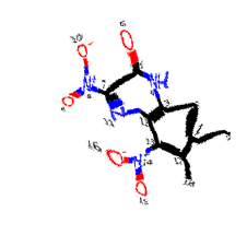 Cc1cc2[nH]c(=O)c([N+](=O)[O-])nc2c([N+](=O)[O-])c1C